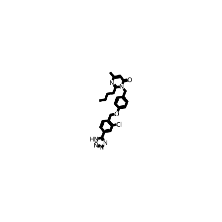 CCCCc1nc(C)cc(=O)n1Cc1ccc(OCc2ccc(-c3nnn[nH]3)cc2Cl)cc1